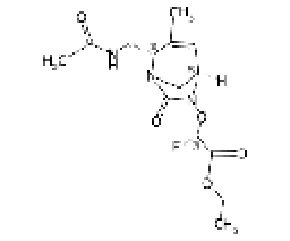 CCOC(=O)[C@H](F)ON1C(=O)N2C[C@H]1C=C(C)[C@H]2CNC(C)=O